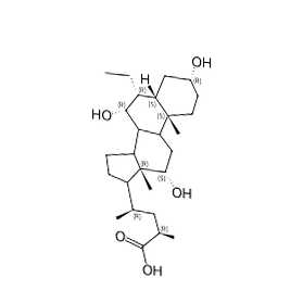 CC[C@H]1[C@@H](O)C2C3CCC([C@H](C)C[C@@H](C)C(=O)O)[C@@]3(C)[C@@H](O)CC2[C@@]2(C)CC[C@@H](O)C[C@@H]12